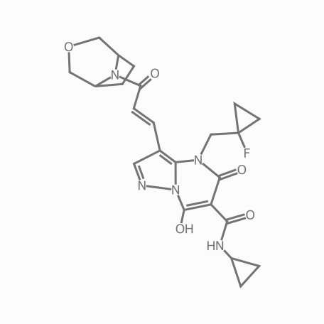 O=C(NC1CC1)c1c(O)n2ncc(C=CC(=O)N3C4CCC3COC4)c2n(CC2(F)CC2)c1=O